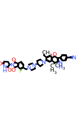 CCc1cc2c(cc1N1CCC(N3CCN(Cc4ccc5c(c4F)C(=O)N(C4CCC(=O)NC4=O)C5=O)CC3)CC1)C(C)(C)c1[nH]c3cc(C#N)ccc3c1C2=O